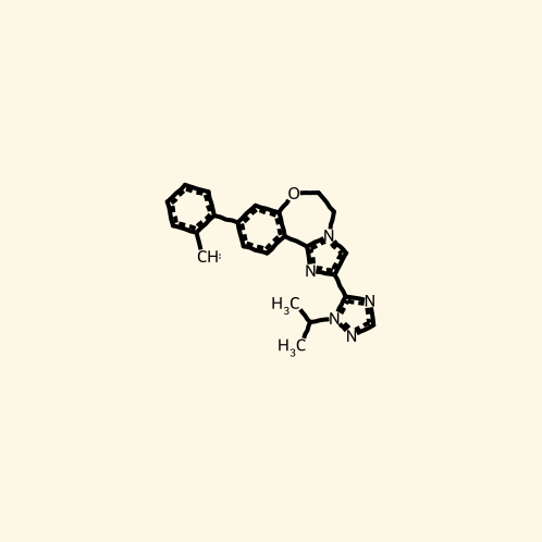 [CH]c1ccccc1-c1ccc2c(c1)OCCn1cc(-c3ncnn3C(C)C)nc1-2